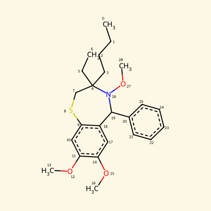 CCCCC1(CC)CSc2cc(OC)c(OC)cc2C(c2ccccc2)N1OC